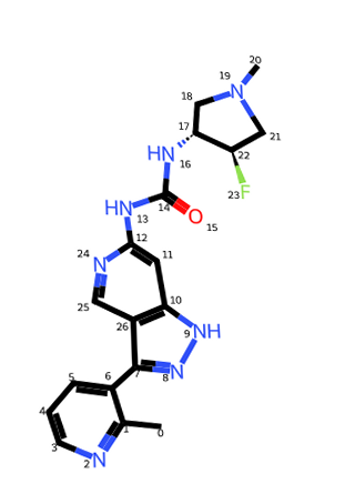 Cc1ncccc1-c1n[nH]c2cc(NC(=O)N[C@@H]3CN(C)C[C@H]3F)ncc12